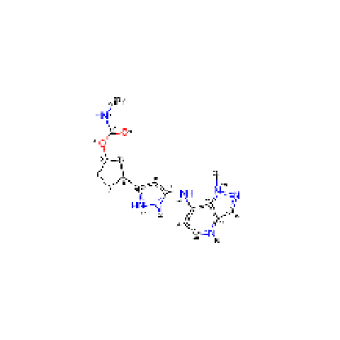 CC(C)NC(=O)OC1CCC(c2cc(Nc3ccnc4cnn(C)c34)n[nH]2)C1